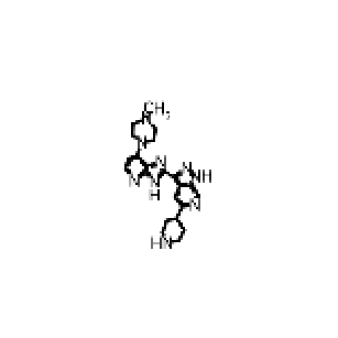 CN1CCN(c2ccnc3[nH]c(-c4n[nH]c5cnc(C6CCNCC6)cc45)nc23)CC1